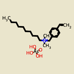 C=Cc1ccc(C[N+](C)(C)CCCCCCCCCC)cc1.O=[As](O)(O)O